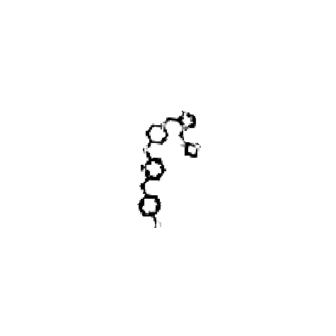 Clc1ccc(Cc2cccc(OC3CCN(Cc4nccn4C[C@@H]4CCO4)CC3)n2)cc1